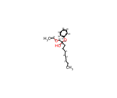 CCCCCCCCC(O)(COCC)Oc1ccccc1